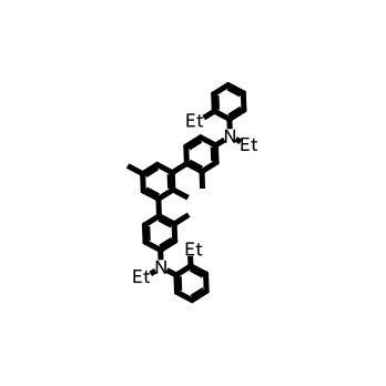 CCc1ccccc1N(CC)c1ccc(-c2cc(C)cc(-c3ccc(N(CC)c4ccccc4CC)cc3C)c2C)c(C)c1